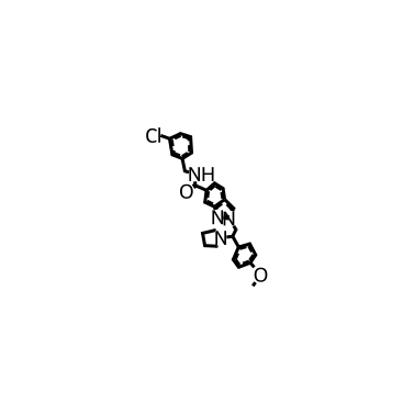 COc1ccc(C(Cn2cc3ccc(C(=O)NCc4cccc(Cl)c4)cc3n2)N2CCCC2)cc1